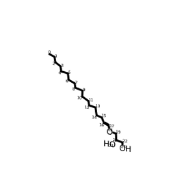 CCCCCCCCCCCCCCCCC=COC[C@H](O)CO